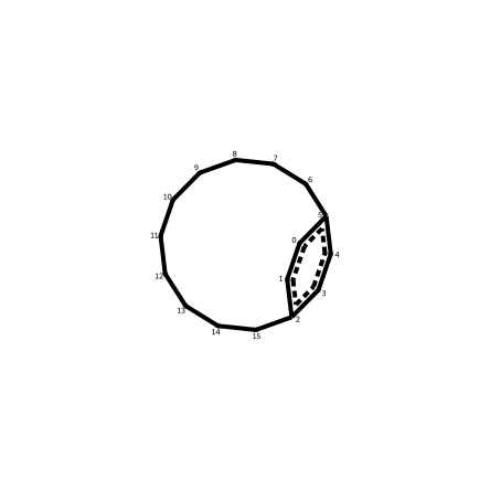 c1cc2ccc1CCCCCCCCCC2